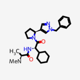 CN[C@@H](C)C(=O)N[C@H](C(=O)N1CCC[C@H]1c1cnn(Cc2ccccc2)c1)C1CCCCC1